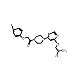 CC(C)COc1cc(N2CCN(C(=O)COc3ccc(F)cc3)CC2)ncn1